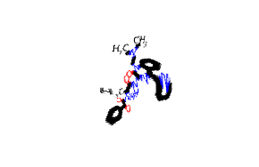 CCN(CC)CCN1C(=O)C(NC(=O)[C@H](C)NC(=O)C(=O)c2ccccc2)N=C(c2ccccn2)c2ccccc21